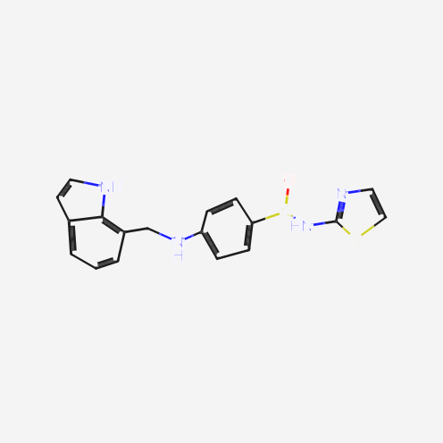 [O-][S+](Nc1nccs1)c1ccc(NCc2cccc3cc[nH]c23)cc1